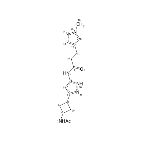 CC(=O)NC1CC(c2cc(NC(=O)CCc3cnn(C)c3)[nH]n2)C1